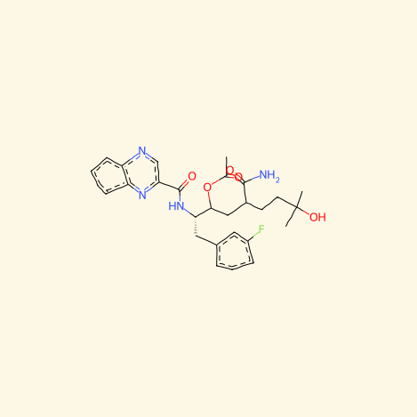 CC(=O)OC(CC(CCC(C)(C)O)C(N)=O)[C@H](Cc1cccc(F)c1)NC(=O)c1cnc2ccccc2n1